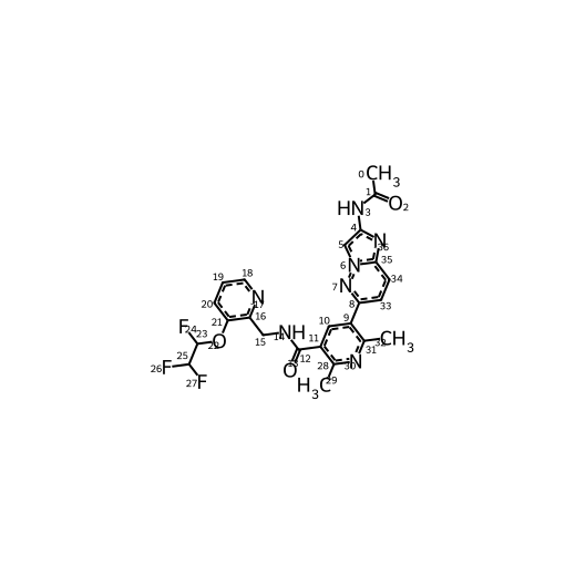 CC(=O)Nc1cn2nc(-c3cc(C(=O)NCc4ncccc4OC(F)C(F)F)c(C)nc3C)ccc2n1